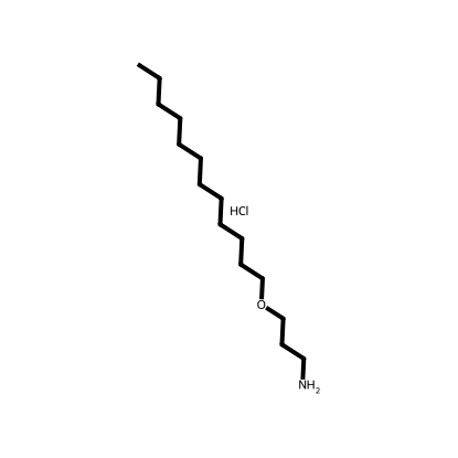 CCCCCCCCCCCCOCCCN.Cl